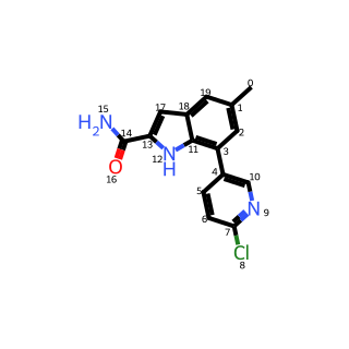 Cc1cc(-c2ccc(Cl)nc2)c2[nH]c(C(N)=O)cc2c1